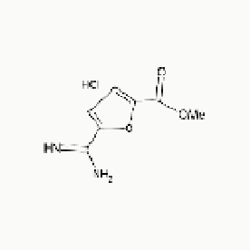 COC(=O)c1ccc(C(=N)N)o1.Cl